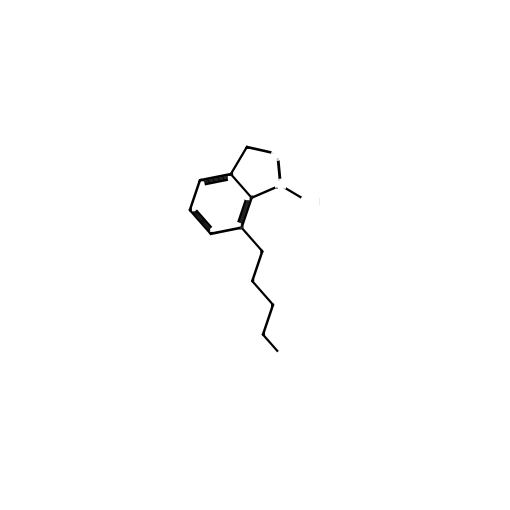 OCCCCc1cccc2c1B(O)OC2